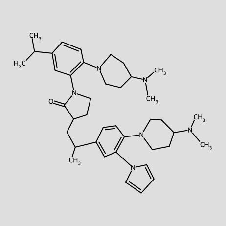 CC(C)c1ccc(N2CCC(N(C)C)CC2)c(N2CCC(CC(C)c3ccc(N4CCC(N(C)C)CC4)c(-n4cccc4)c3)C2=O)c1